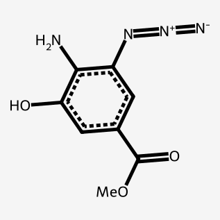 COC(=O)c1cc(O)c(N)c(N=[N+]=[N-])c1